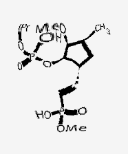 CO[C@@H]1[C@H](OP(=O)(O)OC(C)C)[C@@H](/C=C/P(=O)(O)OC)C[C@@H]1C